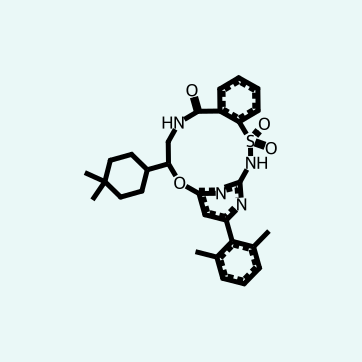 Cc1cccc(C)c1-c1cc2nc(n1)NS(=O)(=O)c1ccccc1C(=O)NCC(C1CCC(C)(C)CC1)O2